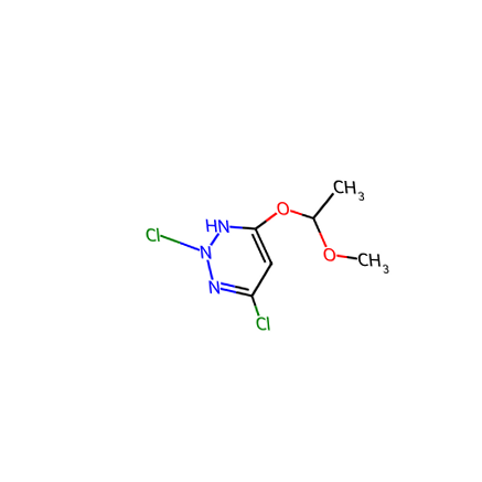 COC(C)OC1=CC(Cl)=NN(Cl)N1